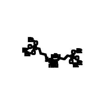 CCC[CH2][Sn]([CH2]CCC)([S]CCC[Si](OCC)(OCC)OCC)[S]CCC[Si](OCC)(OCC)OCC